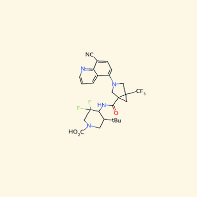 CC(C)(C)C1CN(C(=O)O)CC(F)(F)C1NC(=O)C12CN(c3ccc(C#N)c4ncccc34)CC1(C(F)(F)F)C2